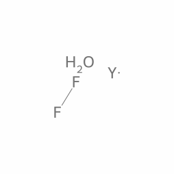 FF.O.[Y]